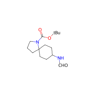 CC(C)(C)OC(=O)N1CCCC12CCC(NC=O)CC2